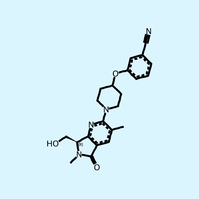 Cc1cc2c(nc1N1CCC(Oc3cccc(C#N)c3)CC1)[C@H](CO)N(C)C2=O